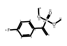 C=C(c1ccc(F)cc1)P(=O)(OC)OC